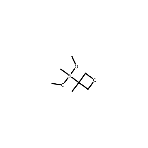 CO[Si](C)(OC)C1(C)COC1